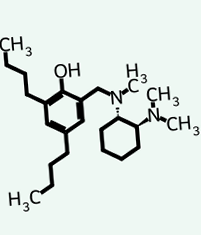 CCCCc1cc(CCCC)c(O)c(CN(C)[C@H]2CCCC[C@@H]2N(C)C)c1